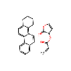 C=CC(=O)OC1C=COC1=O.c1ccc2c(c1)ccc1c3c(ccc12)CCCC3